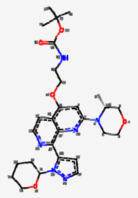 C[C@@H]1COCCN1c1cc(OCCNC(=O)OC(C)(C)C)c2ccnc(-c3ccnn3C3CCCCO3)c2n1